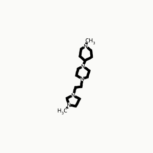 CN1CCC(N2CCN(CCN3CCN(C)C3)CC2)CC1